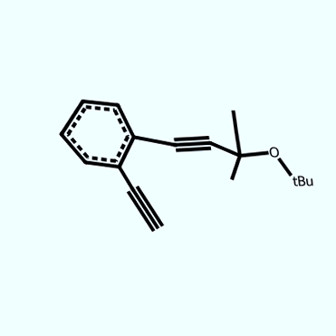 C#Cc1ccccc1C#CC(C)(C)OC(C)(C)C